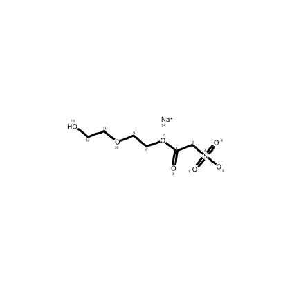 O=C(CS(=O)(=O)[O-])OCCOCCO.[Na+]